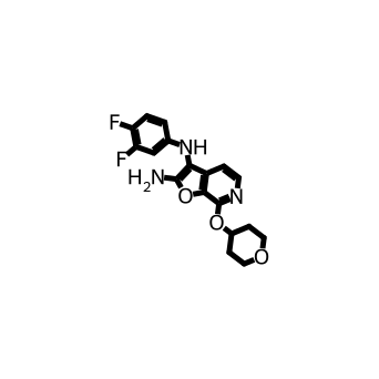 Nc1oc2c(OC3CCOCC3)nccc2c1Nc1ccc(F)c(F)c1